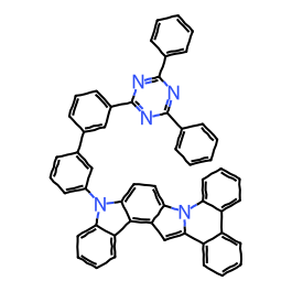 c1ccc(-c2nc(-c3ccccc3)nc(-c3cccc(-c4cccc(-n5c6ccccc6c6c7cc8c9ccccc9c9ccccc9n8c7ccc65)c4)c3)n2)cc1